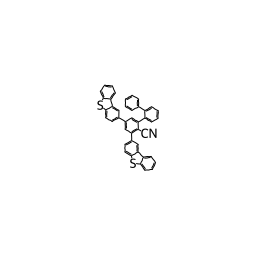 N#Cc1c(-c2ccc3sc4ccccc4c3c2)cc(-c2ccc3sc4ccccc4c3c2)cc1-c1ccccc1-c1ccccc1